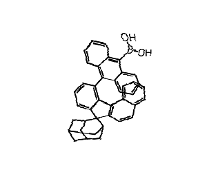 OB(O)c1c2ccccc2c(-c2cccc3c2-c2c(ccc4ccccc24)C32C3CC4CC(C3)CC2C4)c2ccccc12